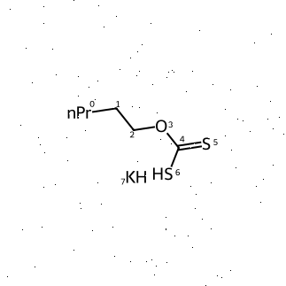 CCCCCOC(=S)S.[KH]